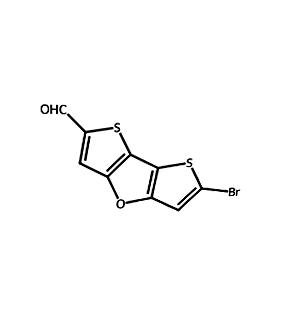 O=Cc1cc2oc3cc(Br)sc3c2s1